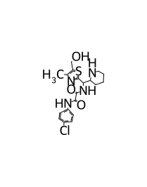 Cc1nc(C(NC(=O)C(=O)Nc2ccc(Cl)cc2)C2CCCCN2)sc1CO